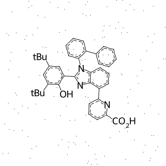 CC(C)(C)c1cc(-c2nc3c(-c4cccc(C(=O)O)n4)cccc3n2-c2ccccc2-c2ccccc2)c(O)c(C(C)(C)C)c1